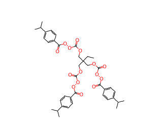 CCC(COC(=O)OOC(=O)c1ccc(C(C)C)cc1)(COC(=O)OOC(=O)c1ccc(C(C)C)cc1)COC(=O)OOC(=O)c1ccc(C(C)C)cc1